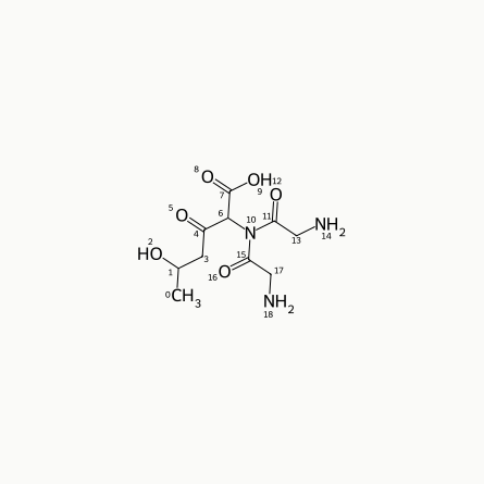 CC(O)CC(=O)C(C(=O)O)N(C(=O)CN)C(=O)CN